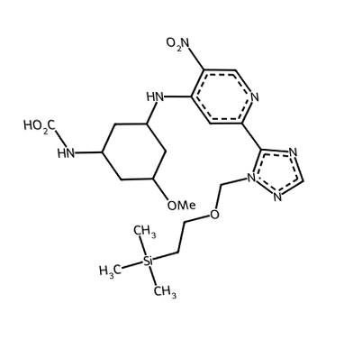 COC1CC(NC(=O)O)CC(Nc2cc(-c3ncnn3COCC[Si](C)(C)C)ncc2[N+](=O)[O-])C1